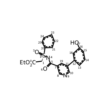 CCOC(=O)C[S@@](=O)(=NC(=O)c1cncc(-c2cccc(O)c2)c1)c1ccccc1